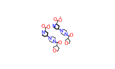 COC(=O)c1cc(N2CCN(C(=O)C3CCOC3)CC2)ccn1.COC(=O)c1cc(N2CCN(C(=O)C3CCOC3)CC2)ccn1